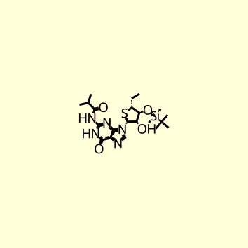 CC[C@H]1S[C@@H](n2cnc3c(=O)[nH]c(NC(=O)C(C)C)nc32)[C@H](O)[C@@H]1O[Si](C)(C)C(C)(C)C